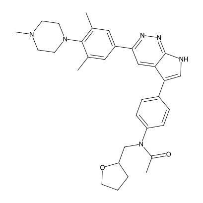 CC(=O)N(CC1CCCO1)c1ccc(-c2c[nH]c3nnc(-c4cc(C)c(N5CCN(C)CC5)c(C)c4)cc23)cc1